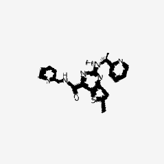 Cc1cc2nc(N[C@@H](C)c3ccccn3)nc(C(=O)NCc3ccccn3)c2s1